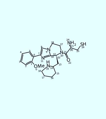 COc1ccccc1-c1cn2c(n1)[C@H](CC1CCCCN1)N(C(=O)[C@@H](N)CS)CC2